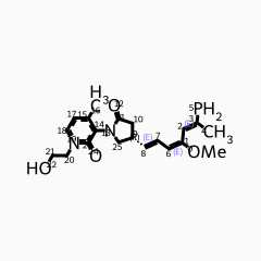 COC(/C=C(\C)P)=C/C=C/[C@H]1CC(=O)N(c2c(C)ccn(CCO)c2=O)C1